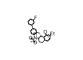 CCn1ccc2c(c1=O)[C@@H](Cc1cccc(-c3cccc(F)c3)c1)[C@@H](NS(C)(=O)=O)CC2